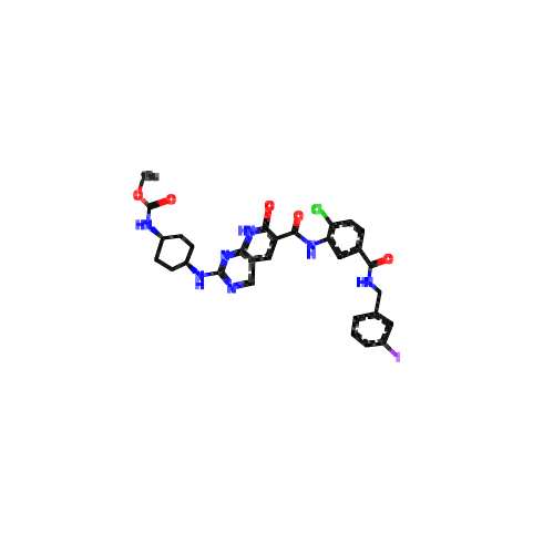 CC(C)(C)OC(=O)N[C@H]1CC[C@@H](Nc2ncc3cc(C(=O)Nc4cc(C(=O)NCc5cccc(I)c5)ccc4Cl)c(=O)[nH]c3n2)CC1